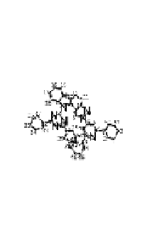 c1ccc(-c2cc(-n3cc4c(ccc5c6ccccc6n(-c6nc(-c7ccccc7)nc(-c7ccccc7)n6)c45)n3)cc(-c3ccccc3)n2)cc1